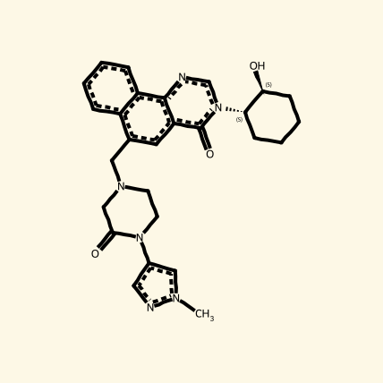 Cn1cc(N2CCN(Cc3cc4c(=O)n([C@H]5CCCC[C@@H]5O)cnc4c4ccccc34)CC2=O)cn1